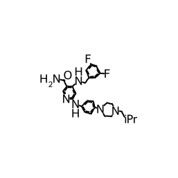 CC(C)CN1CCN(c2ccc(Nc3cc(NCc4cc(F)cc(F)c4)c(C(N)=O)cn3)cc2)CC1